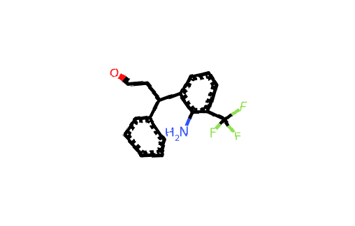 Nc1c(C(CC=O)c2ccccc2)cccc1C(F)(F)F